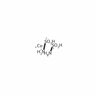 NS(=O)(=O)O.NS(=O)(=O)O.[Co]